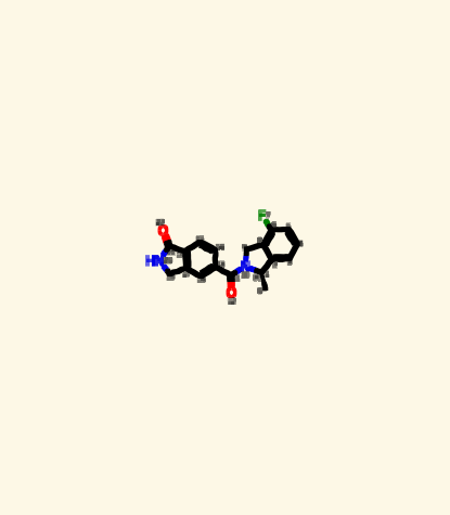 C[C@@H]1c2cccc(F)c2CN1C(=O)c1ccc2c(c1)CNC2=O